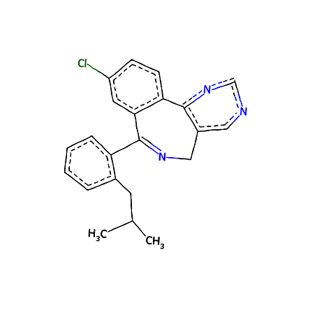 CC(C)Cc1ccccc1C1=NCc2cncnc2-c2ccc(Cl)cc21